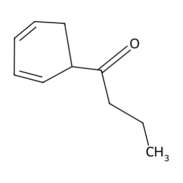 CCCC(=O)C1C=CC=CC1